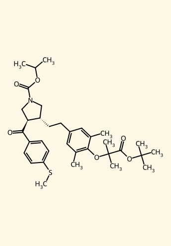 CSc1ccc(C(=O)[C@H]2CN(C(=O)OC(C)C)C[C@@H]2CCc2cc(C)c(OC(C)(C)C(=O)OC(C)(C)C)c(C)c2)cc1